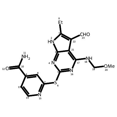 CCc1[nH]c2nc(Sc3cc(C(N)=O)ccn3)nc(NCOC)c2c1C=O